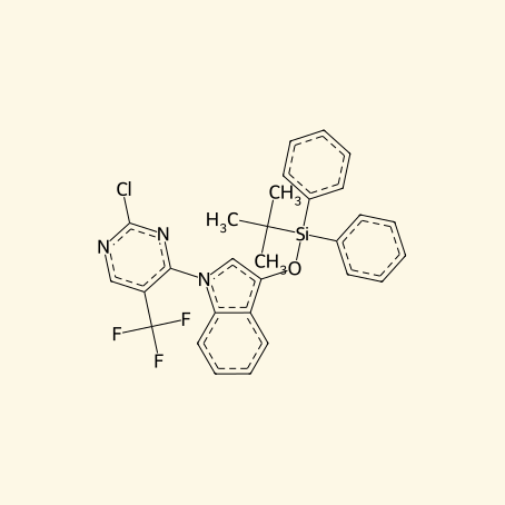 CC(C)(C)[Si](Oc1cn(-c2nc(Cl)ncc2C(F)(F)F)c2ccccc12)(c1ccccc1)c1ccccc1